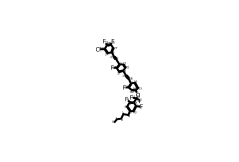 CCCCCc1cc(F)c(C(F)(F)Oc2ccc(C#Cc3ccc(C#Cc4cc(F)c(F)c(Cl)c4)c(F)c3)c(F)c2)c(F)c1